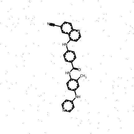 Cc1cc(Nc2ccncc2)ccc1NC(=O)c1ccc(Nc2ccnc3ccc(C#N)cc23)cc1